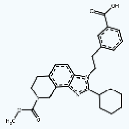 COC(=O)N1CCc2ccc3c(nc(C4CCCCC4)n3CCc3cccc(C(=O)O)c3)c2C1